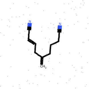 C=C(CC=CC#N)CCCC#N